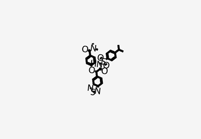 CC(C)c1ccc(S(=O)(=O)NC(=O)C(Oc2ccc(C(=O)N(C)C)cc2)c2ccc3nsnc3c2)cc1